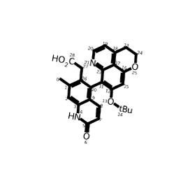 Cc1cc2[nH]c(=O)ccc2c(-c2c(OC(C)(C)C)cc3c4c(ccnc24)CCO3)c1CC(=O)O